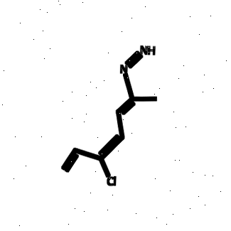 C=C/C(Cl)=C\C=C(/C)N=N